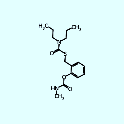 CCCN(CCC)C(=O)SCc1ccccc1OC(=O)NC